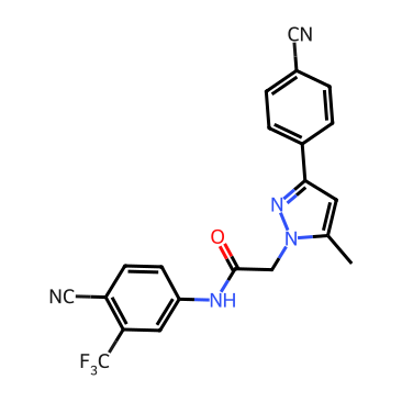 Cc1cc(-c2ccc(C#N)cc2)nn1CC(=O)Nc1ccc(C#N)c(C(F)(F)F)c1